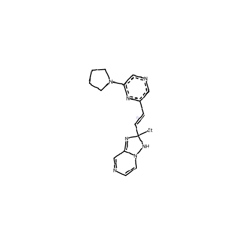 CCC1(/C=C/c2cncc(N3CCCC3)n2)N=C2C=NC=CN2N1